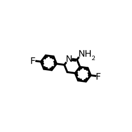 NC1=NC(c2ccc(F)cc2)Cc2ccc(F)cc21